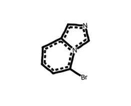 Brc1cccc2cncn12